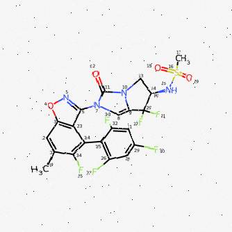 Cc1cc2onc(-n3cc4n(c3=O)C[C@@H](NS(C)(=O)=O)C4(F)F)c2c(-c2c(F)cc(F)cc2F)c1F